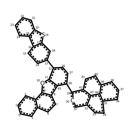 c1ccc2c(c1)ccc1c2oc2c(-c3ccc4c(c3)sc3ccccc34)ccc(-c3ccc4ccc5cccc6ccc3c4c56)c21